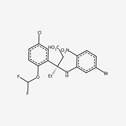 CC[C@](CC(=O)O)(Nc1cc(Br)ccc1[N+](=O)[O-])c1cc(Cl)ccc1OC(F)F